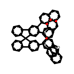 c1ccc(N(c2ccccc2)c2ccc3c(c2)C2(c4ccccc4-3)c3ccccc3-c3cc(-c4ccc5ccccc5c4)c(N(c4ccccc4)c4ccc5c(c4)oc4ccccc45)cc32)cc1